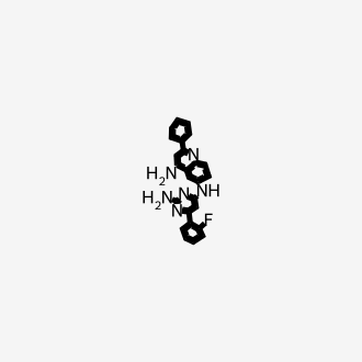 Nc1nc(Nc2ccc3nc(-c4ccccc4)cc(N)c3c2)cc(-c2ccccc2F)n1